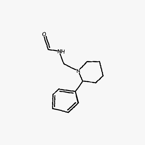 O=CNCN1CCCCC1c1ccccc1